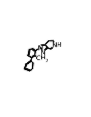 Cc1c(-c2ccccc2)cccc1-n1cc2c(n1)CNCC2